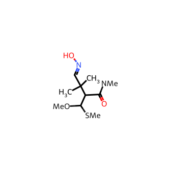 CNC(=O)C(C(OC)SC)C(C)(C)C=NO